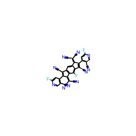 N#CC(C#N)=C1C(c2cc(F)ncc2C#N)=C(C#N)c2c1cc1c(c2F)C(=C(C#N)C#N)C(c2cc(F)ncc2C#N)=C1C#N